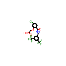 O=C(O)COc1cc(Cl)ccc1C(=O)NCc1cc(C(F)(F)F)cc(C(F)(F)F)c1